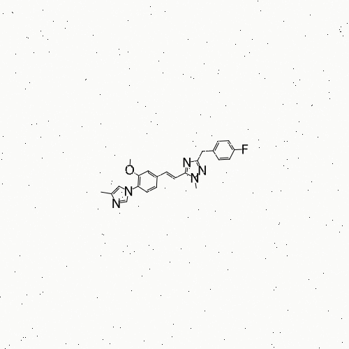 COc1cc(/C=C/c2nc(Cc3ccc(F)cc3)nn2C)ccc1-n1cnc(C)c1